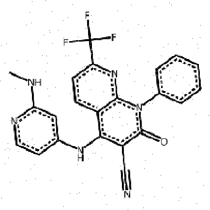 CNc1cc(Nc2c(C#N)c(=O)n(-c3ccccc3)c3nc(C(F)(F)F)ccc23)ccn1